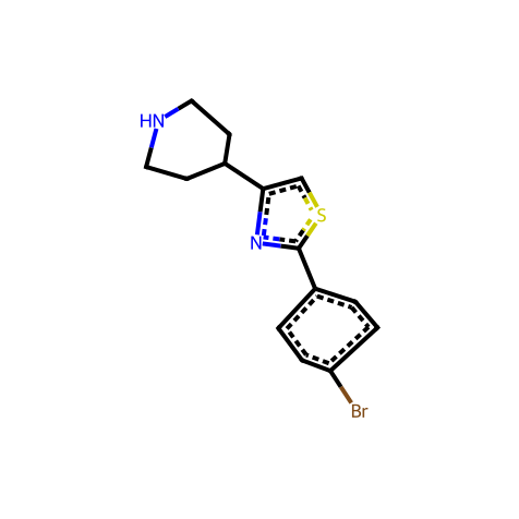 Brc1ccc(-c2nc(C3CCNCC3)cs2)cc1